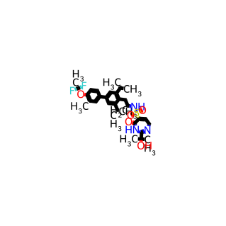 C=C(Cc1c(C(C)C)cc(-c2ccc(OC(C)(F)F)c(C)c2)cc1C(C)C)NS(=O)(=O)C1=CCN=C(C(C)(C)O)NC1=O